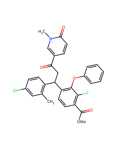 COC(=O)c1ccc(C(CC(=O)c2ccc(=O)n(C)c2)c2ccc(Cl)cc2C)c(Oc2ccccc2)c1F